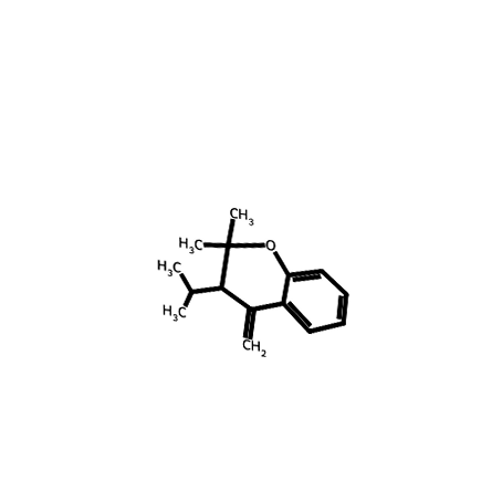 C=C1c2ccccc2OC(C)(C)C1C(C)C